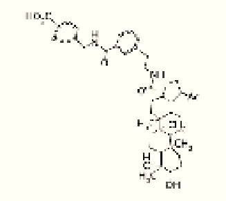 CC(=O)[C@@H]1CC[C@]2(C(=O)NCCc3cccc(C(=O)NCc4ccc(C(=O)O)cc4)c3)CC[C@]3(C)C(CCC4[C@@]5(C)CC[C@H](O)C(C)(C)C5CC[C@]43C)C12